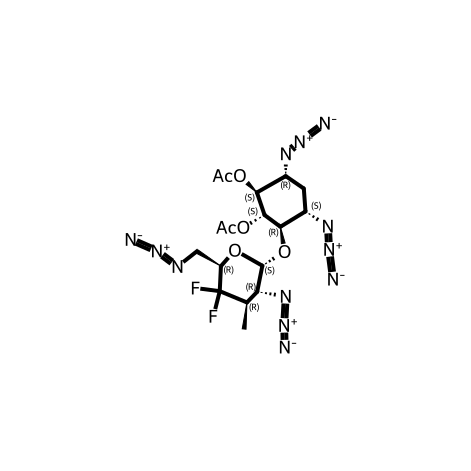 CC(=O)O[C@@H]1[C@@H](OC(C)=O)[C@H](N=[N+]=[N-])C[C@H](N=[N+]=[N-])[C@H]1O[C@H]1O[C@H](CN=[N+]=[N-])C(F)(F)[C@H](C)[C@H]1N=[N+]=[N-]